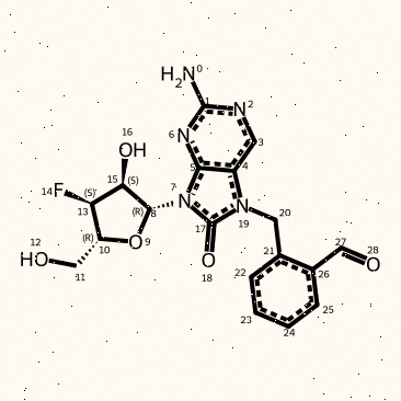 Nc1ncc2c(n1)n([C@@H]1O[C@H](CO)[C@@H](F)[C@H]1O)c(=O)n2Cc1ccccc1C=O